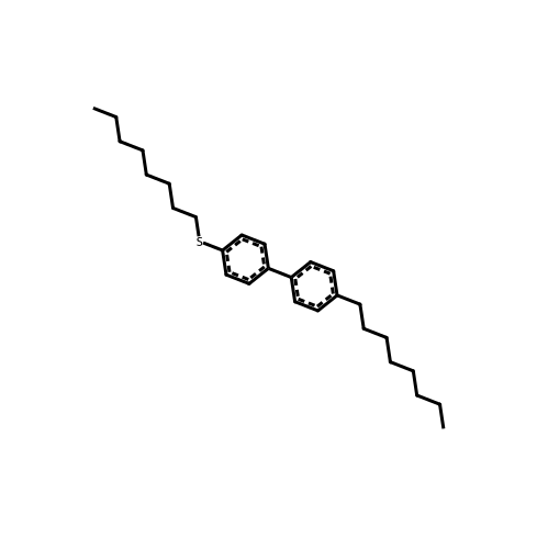 CCCCCCCCSc1ccc(-c2ccc(CCCCCCCC)cc2)cc1